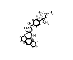 CN(C)CC(C)(C)c1ccc([S@](N)(=O)=NC(=O)Nc2c3c(cc4c2CCC4)CCC3)cc1